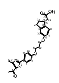 CC(=O)c1sc(-c2ccc(OCCCOc3ccc4c(c3)CC[C@H]4CC(=O)O)cc2)nc1C